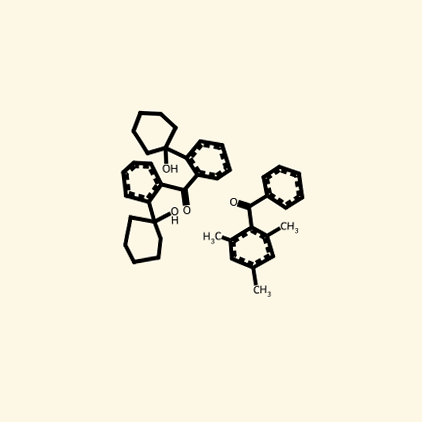 Cc1cc(C)c(C(=O)c2ccccc2)c(C)c1.O=C(c1ccccc1C1(O)CCCCC1)c1ccccc1C1(O)CCCCC1